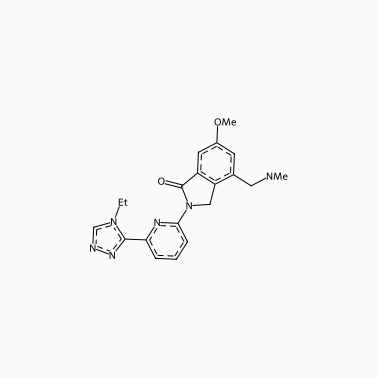 CCn1cnnc1-c1cccc(N2Cc3c(CNC)cc(OC)cc3C2=O)n1